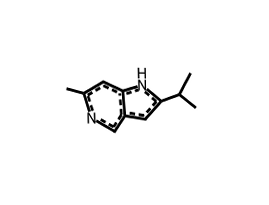 Cc1cc2[nH]c(C(C)C)cc2cn1